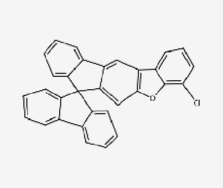 Clc1cccc2c1oc1cc3c(cc12)-c1ccccc1C31c2ccccc2-c2ccccc21